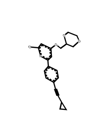 Clc1cc(OCC2COCCO2)cc(-c2ccc(C#CC3CC3)cc2)n1